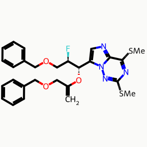 C=C(COCc1ccccc1)O[C@@H](c1cnc2c(SC)nc(SC)nn12)[C@H](F)COCc1ccccc1